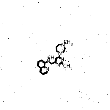 Cc1nc(CN(C)c2cccc3cccnc23)cc(N2CCCN(C)CC2)n1